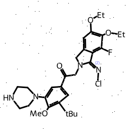 CCOc1cc2c(c(F)c1OCC)/C(=N/Cl)N(CC(=O)c1cc(N3CCNCC3)c(OC)c(C(C)(C)C)c1)C2